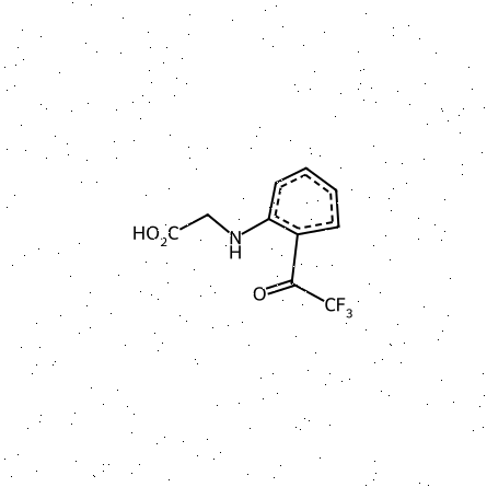 O=C(O)CNc1ccccc1C(=O)C(F)(F)F